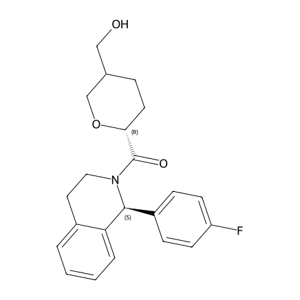 O=C([C@H]1CCC(CO)CO1)N1CCc2ccccc2[C@@H]1c1ccc(F)cc1